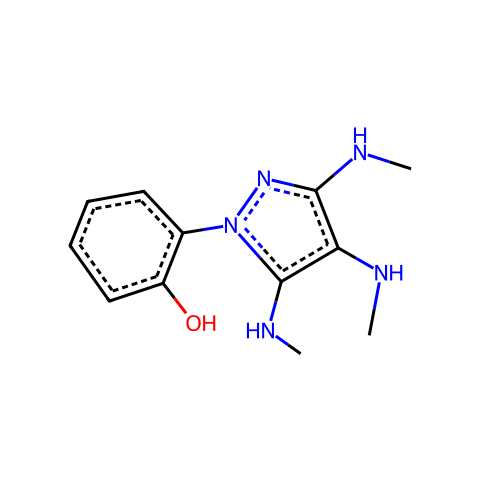 CNc1nn(-c2ccccc2O)c(NC)c1NC